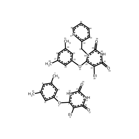 CCc1c(Oc2cc(C)cc(C)c2)[nH]c(=O)[nH]c1=O.CCc1c(Oc2cc(C)cc(C)c2)n(Cc2ccccn2)c(=O)[nH]c1=O